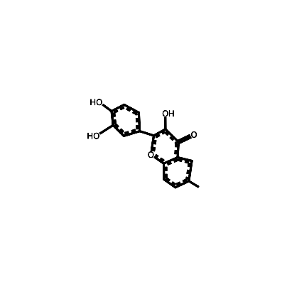 Cc1ccc2oc(-c3ccc(O)c(O)c3)c(O)c(=O)c2c1